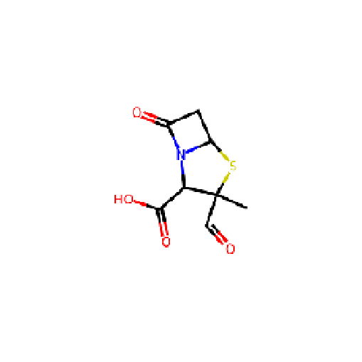 CC1(C=O)SC2CC(=O)N2C1C(=O)O